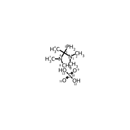 CN(C)C(C)(P)N(C)C.O=S(=O)(O)O